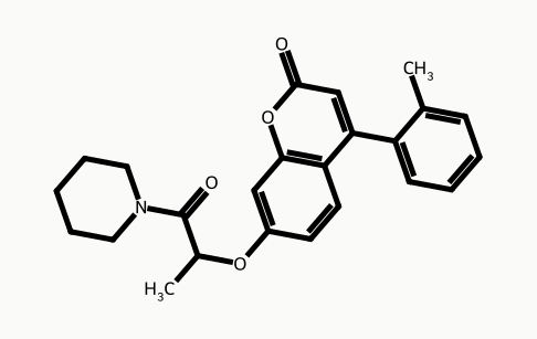 Cc1ccccc1-c1cc(=O)oc2cc(OC(C)C(=O)N3CCCCC3)ccc12